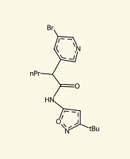 CCCC(C(=O)Nc1cc(C(C)(C)C)no1)c1cncc(Br)c1